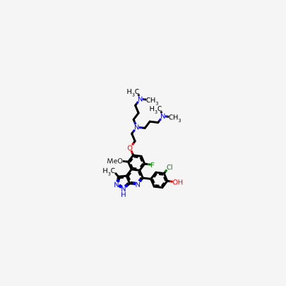 COc1c(OCCN(CCCN(C)C)CCCN(C)C)cc(F)c2c(-c3ccc(O)c(Cl)c3)nc3[nH]nc(C)c3c12